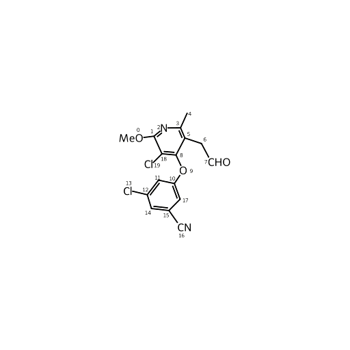 COc1nc(C)c(CC=O)c(Oc2cc(Cl)cc(C#N)c2)c1Cl